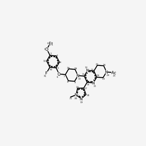 CCOc1ccc(OC2CCN(c3nc4c(nc3-c3cnn(C)c3)CN(C(C)=O)CC4)CC2)c(F)c1